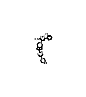 Nc1nnc(-c2ccccc2O)cc1N1CCC2CC3(c4ncc(N5CCNCC5)cn4)CC(C1)C23